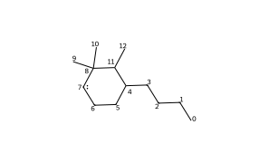 CCCCC1CC[C]C(C)(C)C1C